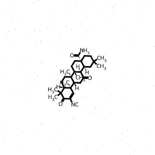 [C-]#[N+]C1=C[C@]2(C)[C@H]3CC(=O)[C@@H]4[C@@H]5CC(C)(C)CC[C@]5(C(N)=O)CC[C@@]4(C)[C@]3(C)CC[C@H]2C(C)(C)C1=O